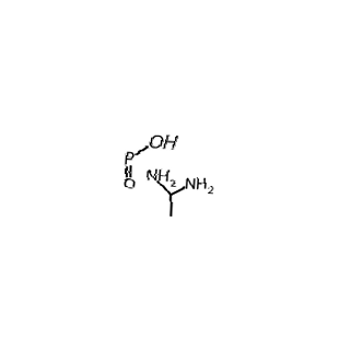 CC(N)N.O=PO